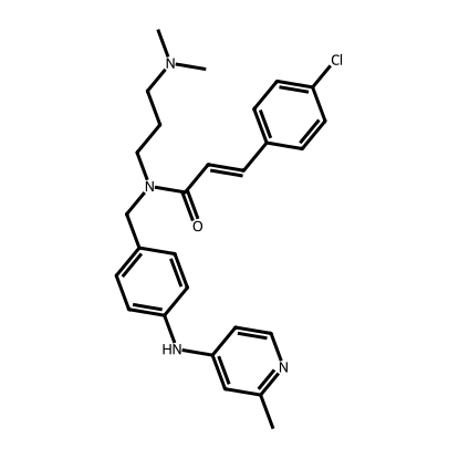 Cc1cc(Nc2ccc(CN(CCCN(C)C)C(=O)/C=C/c3ccc(Cl)cc3)cc2)ccn1